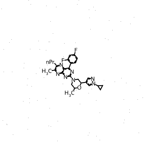 CCCc1nc2c(-c3ccc(F)cc3F)nc(N3CC(C)OC(c4cnn(C5CC5)c4)C3)nc2nc1C